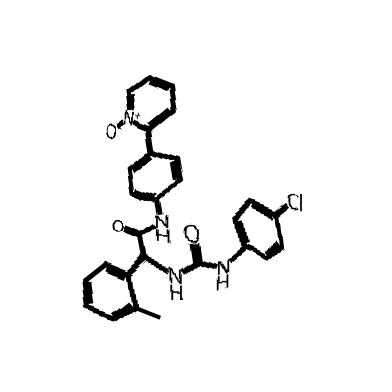 Cc1ccccc1C(NC(=O)Nc1ccc(Cl)cc1)C(=O)Nc1ccc(-c2cccc[n+]2[O-])cc1